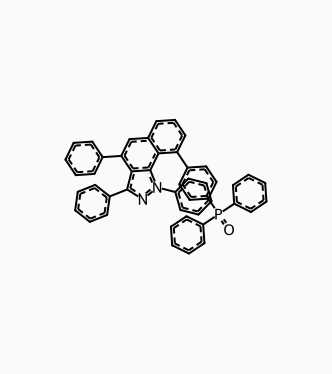 O=P(c1ccccc1)(c1ccccc1)c1ccc(-c2cccc3cc(-c4ccccc4)c4c(-c5ccccc5)nn(-c5ccccc5)c4c23)cc1